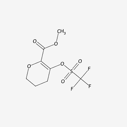 COC(=O)C1=C(OS(=O)(=O)C(F)(F)F)CCCO1